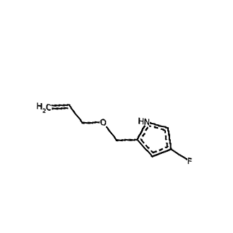 C=CCOCc1cc(F)c[nH]1